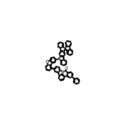 O=c1c2ccc(-c3ccccc3)cc2c2cccc3c4cc(-c5cccc6oc7ccc(-n8c9ccccc9c9cc%10c(cc98)-c8ccccc8C%108c9ccccc9-c9ccccc98)cc7c56)ccc4n1c23